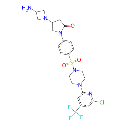 NC1CN(C2CC(=O)N(c3ccc(S(=O)(=O)N4CCN(c5cc(C(F)(F)F)cc(Cl)n5)CC4)cc3)C2)C1